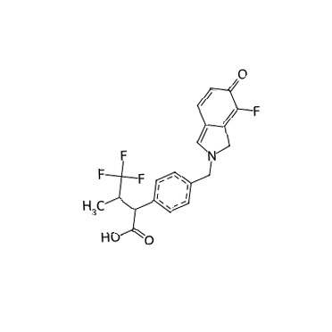 CC(C(C(=O)O)c1ccc(CN2C=C3C=CC(=O)C(F)=C3C2)cc1)C(F)(F)F